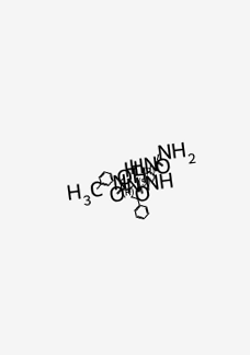 Cc1cccc(N(O)C(=O)[C@@H](CCc2ccccc2)NC(=O)[C@@H]2C[C@@H](NC(=O)CN)CN2)c1